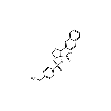 COc1ccc(S(=O)(=O)N[C@]2(C(=O)O)NCCC2c2ccc3ccccc3c2)cc1